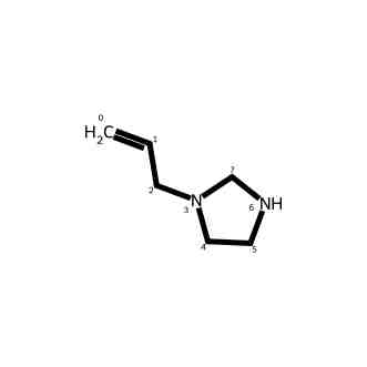 C=CCN1CCNC1